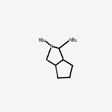 CCCCC1C2CCCC2CN1C(C)(C)C